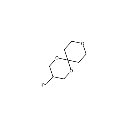 CC(C)C1COC2(CCOCC2)OC1